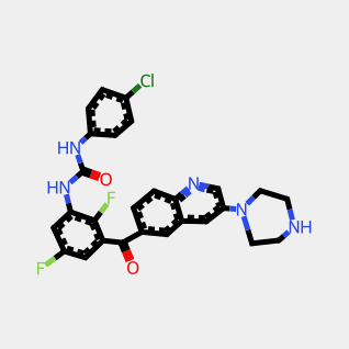 O=C(Nc1ccc(Cl)cc1)Nc1cc(F)cc(C(=O)c2ccc3ncc(N4CCNCC4)cc3c2)c1F